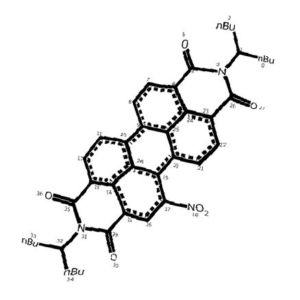 CCCCC(CCCC)N1C(=O)c2ccc3c4ccc5c6c(cc([N+](=O)[O-])c(c7ccc(c2c37)C1=O)c64)C(=O)N(C(CCCC)CCCC)C5=O